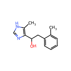 Cc1ccccc1CC(O)c1nc[nH]c1C